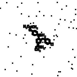 CCN(N)c1ccc(N(N)C2C=CC(OC(C)C)=CC2)c(Cc2ccc(Cl)cc2)c1